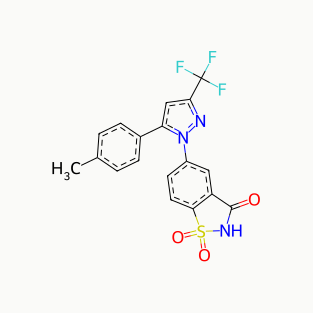 Cc1ccc(-c2cc(C(F)(F)F)nn2-c2ccc3c(c2)C(=O)NS3(=O)=O)cc1